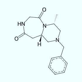 C[C@@H]1CN(Cc2ccccc2)C[C@@H]2CC(=O)NCC(=O)N21